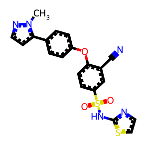 Cn1nccc1-c1ccc(Oc2ccc(S(=O)(=O)Nc3nccs3)cc2C#N)cc1